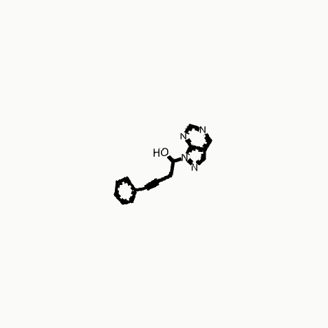 OC(CC#Cc1ccccc1)n1ncc2cncnc21